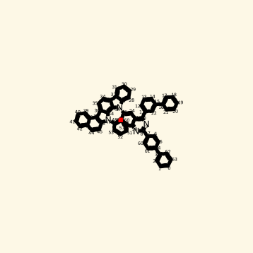 c1ccc(-c2ccc(-c3nc(-c4cccc(-c5ccccc5)c4)c4cc(-n5c6ccccc6c6ccc7c8c9ccccc9ccc8n(-c8ccccc8)c7c65)ccc4n3)cc2)cc1